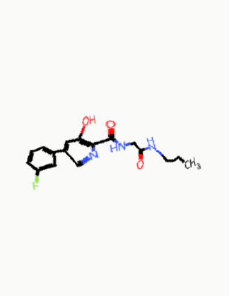 CCCNC(=O)CNC(=O)c1ncc(-c2cccc(F)c2)cc1O